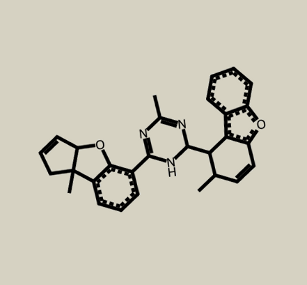 CC1=NC(C2c3c(oc4ccccc34)C=CC2C)NC(c2cccc3c2OC2C=CCC32C)=N1